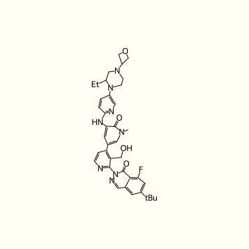 CCC1CN(C2COC2)CCN1c1ccc(Nc2cc(-c3ccnc(-n4ncc5cc(C(C)(C)C)cc(F)c5c4=O)c3CO)cn(C)c2=O)nc1